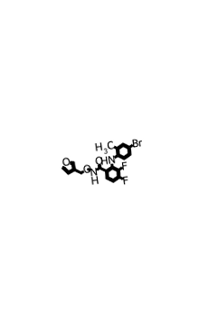 Cc1cc(Br)ccc1Nc1c(C(=O)NOCc2ccoc2)ccc(F)c1F